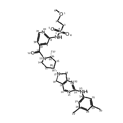 COCCS(=O)(=O)Nc1cc(C(=O)N2CC[C@@H](N3Cc4cnc(Nc5cc(C)cc(C)c5)nc4C3)C[C@H]2C)ccn1